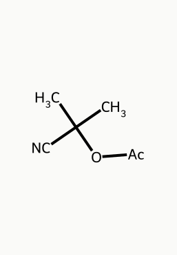 [CH2]C(=O)OC(C)(C)C#N